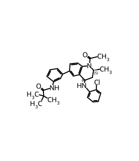 CC(=O)N1c2ccc(-c3cccc(NC(=O)C(C)(C)C)c3)cc2[C@H](Nc2ccccc2Cl)C[C@@H]1C